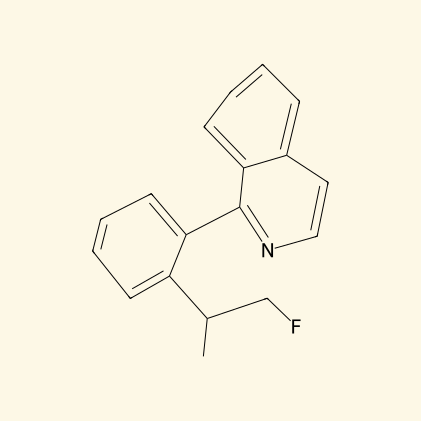 CC(CF)c1ccccc1-c1nccc2ccccc12